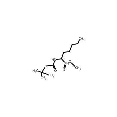 CCCCCC(NC(=O)OC(C)(C)C)[PH](=O)OC